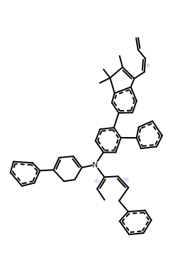 C=C/C=C\C1=C(C)C(C)(C)c2cc(-c3ccc(N(C4=CC=C(c5ccccc5)CC4)C(/C=C\Cc4ccccc4)=C/C)cc3-c3ccccc3)ccc21